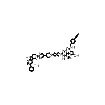 CC#Cc1ccc(CNC(=O)[C@@H]2C[C@@H](O)CN2C(=O)[C@@H](NC(=O)N2CC3(CC(N4CCC(c5cnc(N6CCc7[nH]c8nnc(-c9ccccc9O)cc8c7[C@H]6C)nc5)CC4)C3)C2)C(C)(C)C)cc1